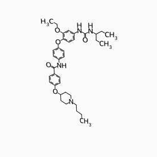 CCCCN1CCC(Oc2ccc(C(=O)Nc3ccc(Oc4ccc(NC(=O)NC(CC)CC)cc4OCC)cc3)cc2)CC1